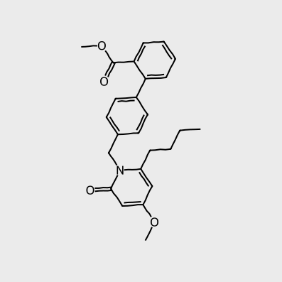 CCCCc1cc(OC)cc(=O)n1Cc1ccc(-c2ccccc2C(=O)OC)cc1